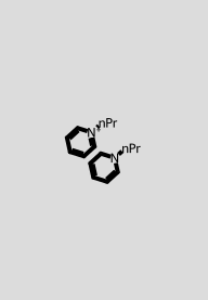 CCCN1C=CC=CC1.CCC[n+]1ccccc1